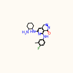 Cc1cc(Nc2nc(N[C@@H]3CCCC[C@@H]3N)cc3c2C(=O)N=NC3)ccc1F